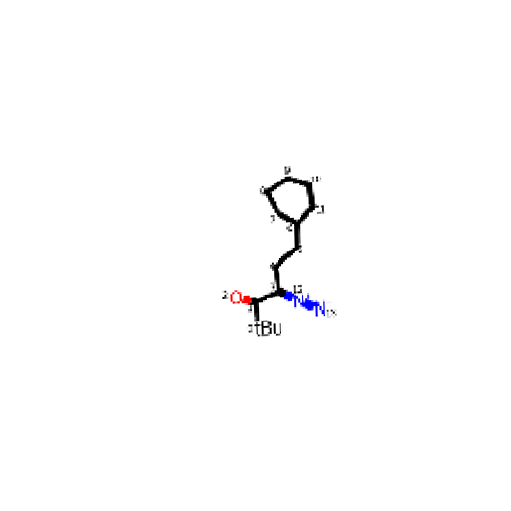 CC(C)(C)C(=O)C(CCC1CCCCC1)=[N+]=[N-]